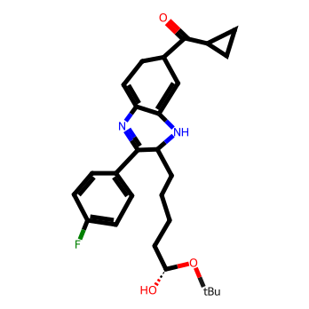 CC(C)(C)O[C@H](O)CCCCC1NC2=CC(C(=O)C3CC3)CC=C2N=C1c1ccc(F)cc1